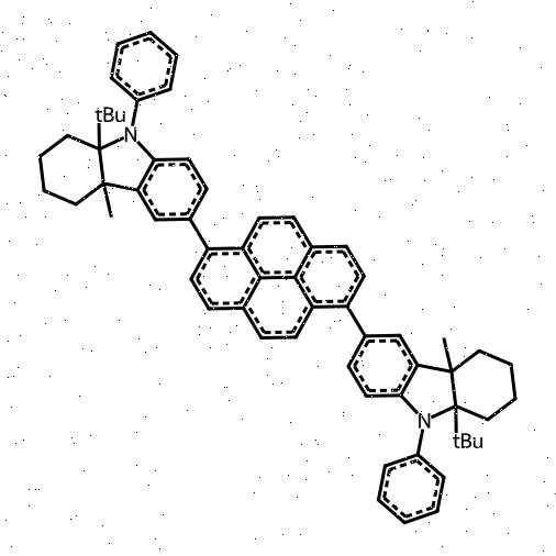 CC(C)(C)C12CCCCC1(C)c1cc(-c3ccc4ccc5c(-c6ccc7c(c6)C6(C)CCCCC6(C(C)(C)C)N7c6ccccc6)ccc6ccc3c4c65)ccc1N2c1ccccc1